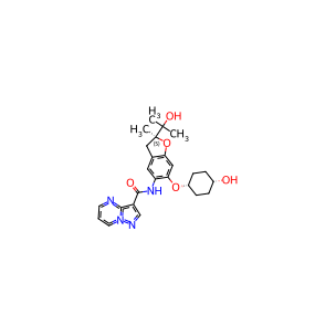 CC(C)(O)[C@]1(C)Cc2cc(NC(=O)c3cnn4cccnc34)c(O[C@H]3CC[C@@H](O)CC3)cc2O1